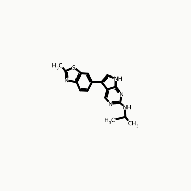 Cc1nc2ccc(-c3c[nH]c4nc(NC(C)C)ncc34)cc2s1